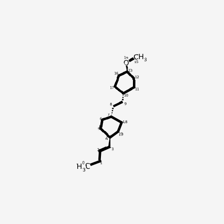 CCCC[C@H]1CC[C@H](CC[C@H]2CC[C@H](OC)CC2)CC1